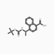 CC(NC(=O)OC(C)(C)C)c1ccc(C(=O)O)c2ccccc12